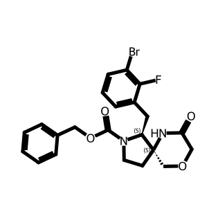 O=C1COC[C@@]2(CCN(C(=O)OCc3ccccc3)[C@H]2Cc2cccc(Br)c2F)N1